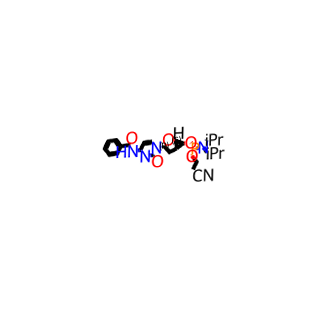 CC(C)N(C(C)C)P(OCCC#N)OC1C2C[C@H](n3ccc(NC(=O)c4ccccc4)nc3=O)O[C@@H]21